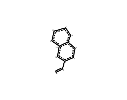 C=Cc1ccc2ccc[c]c2c1